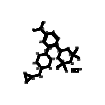 CN(C)c1ccc(C2CC(C)(C)CC(C)(C)C2)c(N2CCN(CC3CC3)CC2)c1.Cl